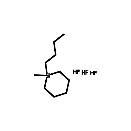 CCCC[Si]1(C)CCCCC1.F.F.F